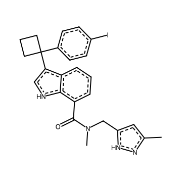 Cc1cc(CN(C)C(=O)c2cccc3c(C4(c5ccc(I)cc5)CCC4)c[nH]c23)[nH]n1